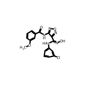 COc1cccc(C(=O)Nc2nonc2/C(=N\O)[AsH]c2cccc(Cl)c2)c1